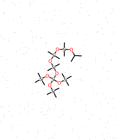 CC(C)O[Si](C)(C)O[Si](C)(C)O[Si](C)(C)O[Si](O[Si](C)(C)C)(O[Si](C)(C)C)O[Si](C)(C)C